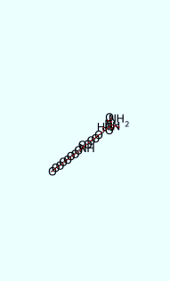 CCN(CC)c1ccc(NC(=O)c2cccc(CCCOCCOCCOCCOCCC(=O)NCCOCCOCCOCCOCCOCCOCCOCCOC)c2)c(-c2cc(C(N)=O)ccn2)c1